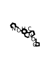 CC1=C2c3ccc(OCc4ccccn4)cc3CCN2C(OCC2CCCO2)C=C1